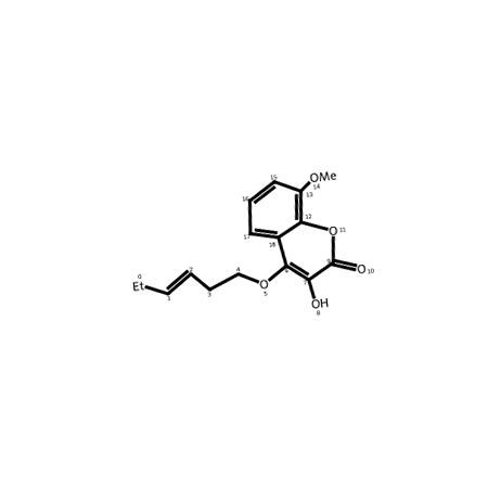 CC/C=C/CCOc1c(O)c(=O)oc2c(OC)cccc12